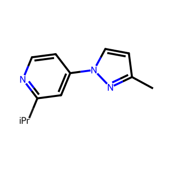 Cc1ccn(-c2ccnc(C(C)C)c2)n1